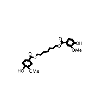 COc1cc(C(=O)OCCCCCCCOC(=O)c2ccc(O)c(OC)c2)ccc1O